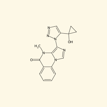 Cn1c(=O)c2ccccc2n2cnc(-n3nncc3C3(O)CC3)c12